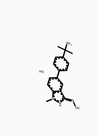 Cl.Cn1[nH]c(=NO)c2cc(-c3ccc(C(C)(C)N)cc3)ccc21